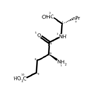 CCC[C@@H]([C]=O)NC(=O)[C@@H](N)CCC(=O)O